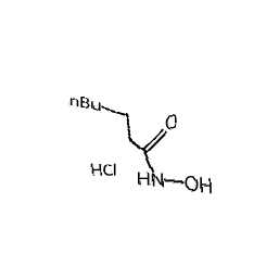 CCCCCCC(=O)NO.Cl